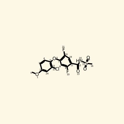 COc1ccc(Oc2cc(F)c(C(=O)NS(C)(=O)=O)cc2F)c(Cl)c1